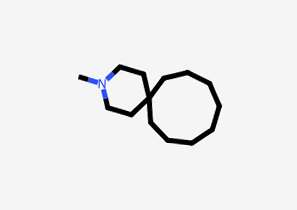 CN1CCC2(CCCCCCCC2)CC1